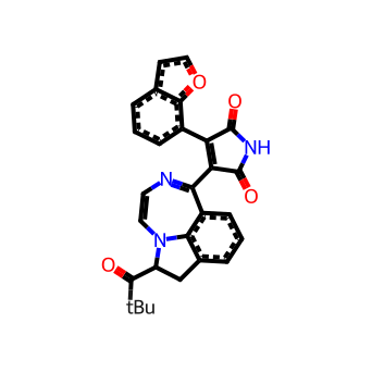 CC(C)(C)C(=O)C1Cc2cccc3c2N1C=CN=C3C1=C(c2cccc3ccoc23)C(=O)NC1=O